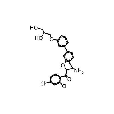 NC1c2ccc(-c3cccc(OC[C@@H](O)CO)c3)cc2OC1C(=O)c1ccc(Cl)cc1Cl